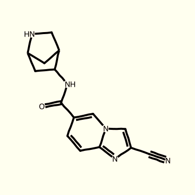 N#Cc1cn2cc(C(=O)NC3CC4CC3CN4)ccc2n1